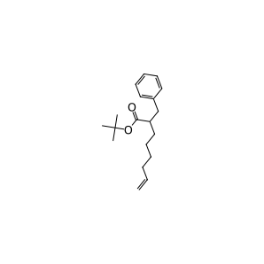 C=CCCCCC(Cc1ccccc1)C(=O)OC(C)(C)C